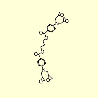 O=C(OCCCOC(=O)c1ccc(N(CC2CO2)CC2CO2)cc1)c1ccc(N(CC2CO2)CC2CO2)cc1